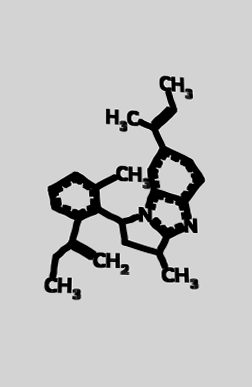 C=C(CC)c1cccc(C)c1C1CC(C)c2nc3ccc(/C(C)=C/C)cc3n21